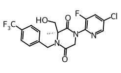 C[C@]1(CO)C(=O)N(c2ncc(Cl)cc2F)CC(=O)N1Cc1ccc(C(F)(F)F)cc1